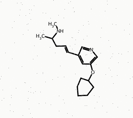 CNC(C)C/C=C/c1cncc(OC2CCCCC2)c1